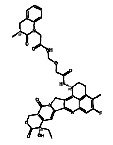 CC[C@@]1(O)C(=O)OCc2c1cc1n(c2=O)Cc2c-1nc1cc(F)c(C)c3c1c2[C@H](NC(=O)COCNC(=O)CN1C(=O)[C@@H](C)Cc2ccccc21)CC3